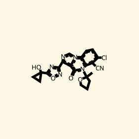 CC1(n2c(=O)c3c(-c4noc(C5(O)CC5)n4)ncn3c3ccc(Cl)c(C#N)c32)CCCO1